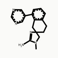 CN1CC2(CCc3cccc(-c4cncnc4)c3C2)N=C1N